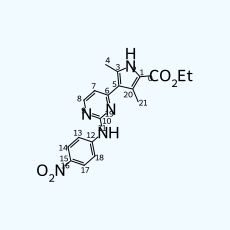 CCOC(=O)c1[nH]c(C)c(-c2ccnc(Nc3ccc([N+](=O)[O-])cc3)n2)c1C